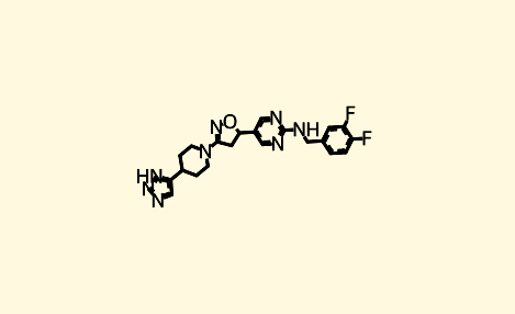 Fc1ccc(CNc2ncc(C3CC(N4CCC(c5cnn[nH]5)CC4)=NO3)cn2)cc1F